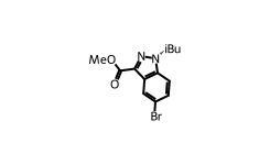 CC[C@@H](C)n1nc(C(=O)OC)c2cc(Br)ccc21